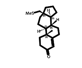 CSC[C@@]12CCC[C@H]1[C@@H]1CCC3=CC(=O)CC[C@]3(C)[C@H]1CC2